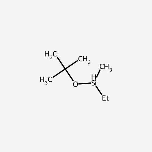 CC[SiH](C)OC(C)(C)C